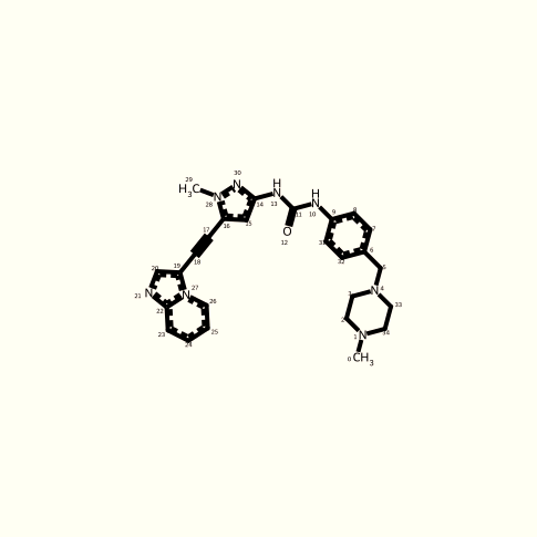 CN1CCN(Cc2ccc(NC(=O)Nc3cc(C#Cc4cnc5ccccn45)n(C)n3)cc2)CC1